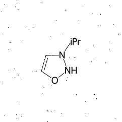 [CH2]C(C)N1C=CON1